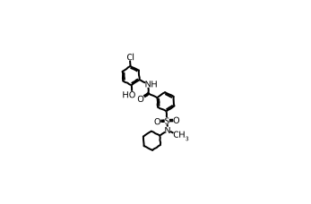 CN(C1CCCCC1)S(=O)(=O)c1cccc(C(=O)Nc2cc(Cl)ccc2O)c1